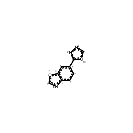 c1nnc(-c2ccc3ncoc3c2)o1